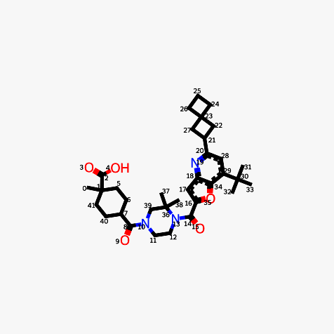 CC1(C(=O)O)CCC(C(=O)N2CCN(C(=O)c3cc4nc(C5CC6(CCC6)C5)cc(C(C)(C)C)c4o3)C(C)(C)C2)CC1